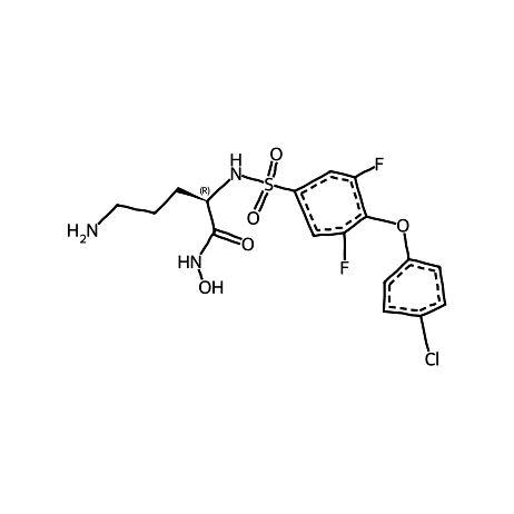 NCCC[C@@H](NS(=O)(=O)c1cc(F)c(Oc2ccc(Cl)cc2)c(F)c1)C(=O)NO